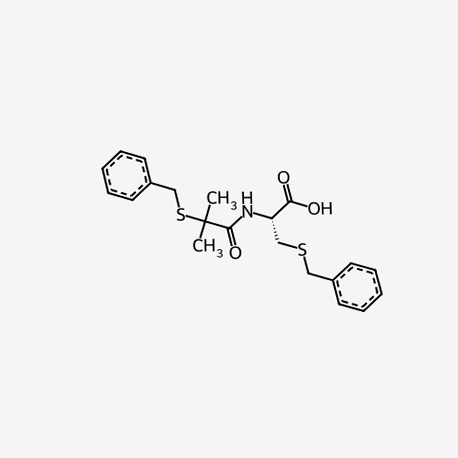 CC(C)(SCc1ccccc1)C(=O)N[C@@H](CSCc1ccccc1)C(=O)O